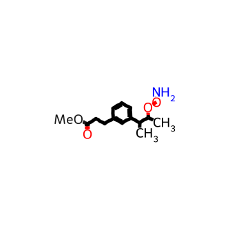 COC(=O)CCc1cccc(C(C)C(C)OON)c1